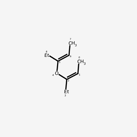 CC=C(CC)OC(=CC)CC